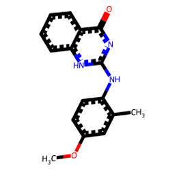 COc1ccc(Nc2nc(=O)c3ccccc3[nH]2)c(C)c1